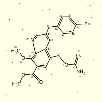 COC(=O)c1cc(COC(N)=O)c2cc(Cc3ccc(F)cc3)cnc2c1OC